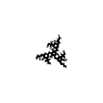 CC/C=C/c1cc(Cc2c(C)c(Cc3cc(/C=C/CC)c(O)c(C(C)(C)CC)c3)c(C)c(Cc3cc(/C=C/CC)c(O)c(C(C)(C)CC)c3)c2C)cc(C(C)(C)CC)c1O